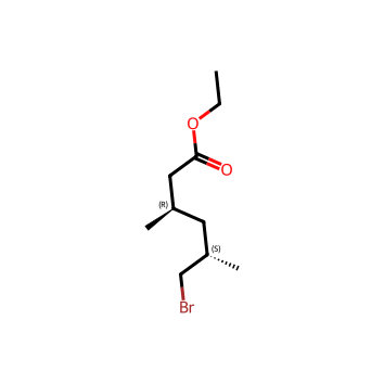 CCOC(=O)C[C@H](C)C[C@H](C)CBr